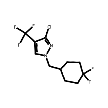 FC1(F)CCC(Cn2cc(C(F)(F)F)c(Cl)n2)CC1